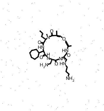 CCCC1C(=O)NC(C2CCCCCC2)C(=O)NC(CN)C(=O)NC(CNCCCN)C(=O)N/C(C)=C\O/C=C(/C)C(=O)N1C